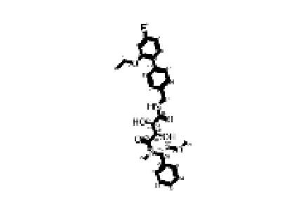 CCOc1cc(F)ccc1-c1ccc(CNC(=O)[C@H](O)[C@@H](O)C(=O)N(C)[C@H](COC)c2ccccc2)cc1